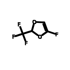 FC1=COC(C(F)(F)F)O1